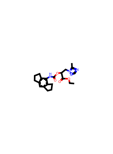 CCOC(=O)C(Cn1ncnc1C)OC(=O)Nc1c2c(cc3c1CCC3)CCC2